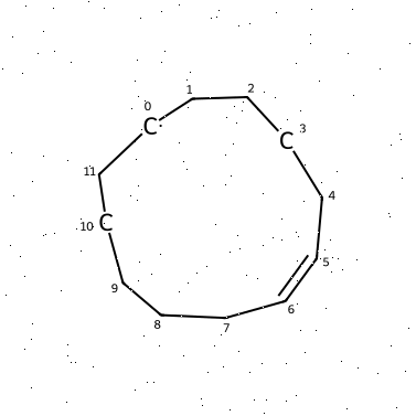 [CH]1CCCCC=CCCCCC1